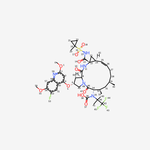 COc1cc(O[C@@H]2C[C@H]3C(=O)N[C@]4(C(=O)NS(=O)(=O)C5(C)CC5)C[C@H]4C=CCC[C@@H](C)C[C@@H](C)[C@H](N(C(=O)O)C(C)(C)C(F)(F)F)C(=O)N3C2)c2cc(F)c(OC)cc2n1